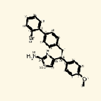 COc1ccc([C@H](Cc2ccc(-c3ccccc3Br)cc2)c2csc(N)n2)cc1